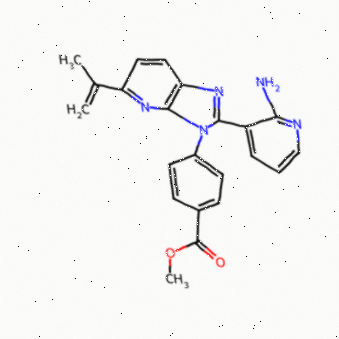 C=C(C)c1ccc2nc(-c3cccnc3N)n(-c3ccc(C(=O)OC)cc3)c2n1